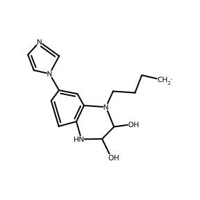 [CH2]CCCN1c2cc(-n3ccnc3)ccc2NC(O)C1O